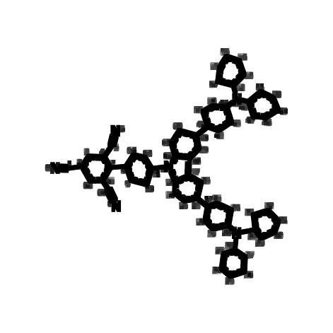 N#Cc1cc(C#N)c(-c2ccc(-n3c4ccc(-c5ccc(N(c6ccccc6)c6ccccc6)cc5)cc4c4cc(-c5ccc(N(c6ccccc6)c6ccccc6)cc5)ccc43)cc2)c(C#N)c1